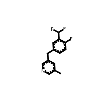 Cc1cncc([CH]c2ccc(F)c(C(F)F)c2)c1